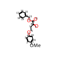 COc1ccc(OCCC(=O)C(=O)OCc2ccccc2)cc1